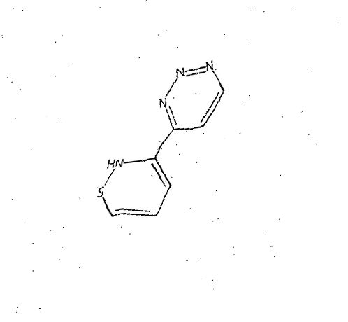 C1=CSNC(c2ccnnn2)=C1